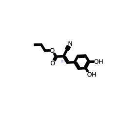 CCCOC(=O)/C(C#N)=C/c1ccc(O)c(O)c1